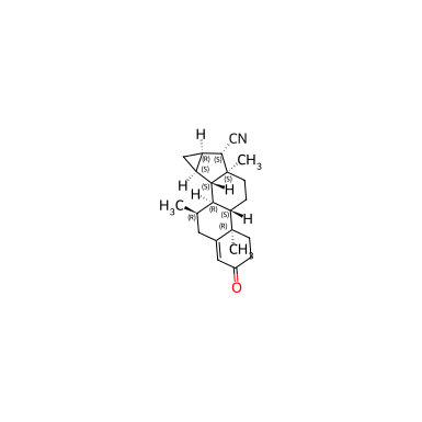 C[C@@H]1CC2=CC(=O)CC[C@]2(C)[C@H]2CC[C@@]3(C)[C@@H]([C@H]4C[C@H]4[C@@H]3C#N)[C@H]12